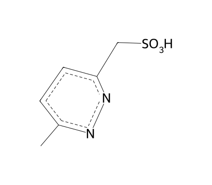 Cc1ccc(CS(=O)(=O)O)nn1